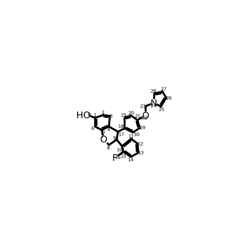 Oc1ccc2c(c1)OCC(c1ccccc1F)C2c1ccc(OCn2cccc2)cc1